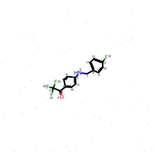 O=C(c1ccc(NCc2ccc(F)cc2)cc1)C(F)(F)F